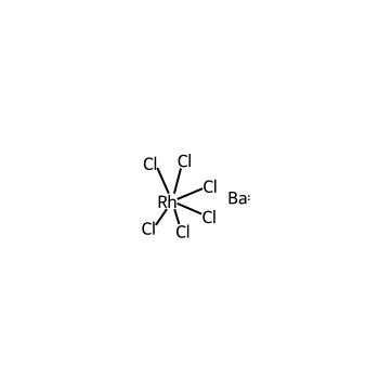 [Ba].[Cl][Rh]([Cl])([Cl])([Cl])([Cl])[Cl]